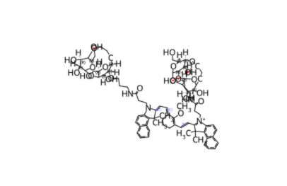 COC1=C(/C=C/C2=[N+](CCC(=O)NCCCO[C@H]3C4OC5[C@@H](CO)OC(CCCO[C@@H]([C@@H]3O)[C@@H](CO)O4)[C@H](O)[C@H]5O)c3ccc4ccccc4c3C2(C)C)CCC/C1=C\C=C1\N(CCC(=O)NCCCO[C@H]2[C@H]3CCCOC4[C@@H](CO)OC(OC([C@@H](CO)O3)[C@@H]2O)[C@H](O)[C@H]4O)c2ccc3ccccc3c2C1(C)C